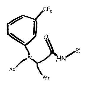 CCNC(=O)C(C(C)C)N(C(C)=O)c1cccc(C(F)(F)F)c1